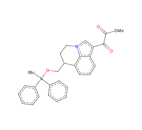 COC(=O)C(=O)c1cn2c3c(cccc13)C(CO[Si](c1ccccc1)(c1ccccc1)C(C)(C)C)CC2